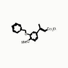 CCOC(=O)/C=C(\C)c1ccc(OC)c(OCc2ccccc2)c1